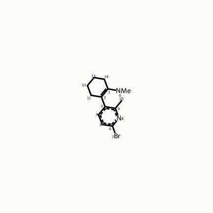 CNC1=C(c2ccc(Br)nc2C)CCCC1